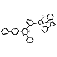 C1=CC2c3ccccc3C3(c4ccccc4Oc4cc(-c5cccc(-c6cc(-c7ccc(-c8ccccc8)cc7)nc(-c7ccccc7)n6)c5)ccc43)C2C=C1